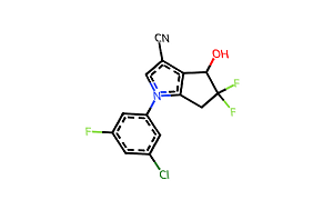 N#Cc1cn(-c2cc(F)cc(Cl)c2)c2c1C(O)C(F)(F)C2